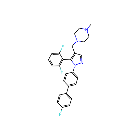 CN1CCN(Cc2cnn(-c3ccc(-c4ccc(F)cc4)cc3)c2-c2c(F)cccc2F)CC1